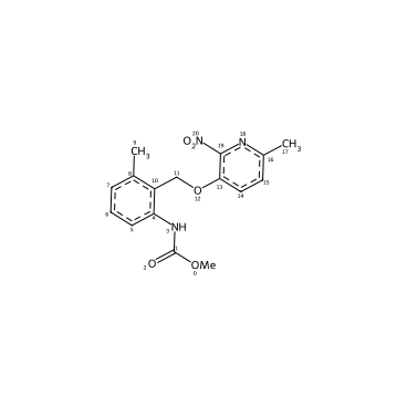 COC(=O)Nc1cccc(C)c1COc1ccc(C)nc1[N+](=O)[O-]